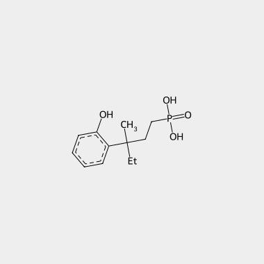 CCC(C)(CCP(=O)(O)O)c1ccccc1O